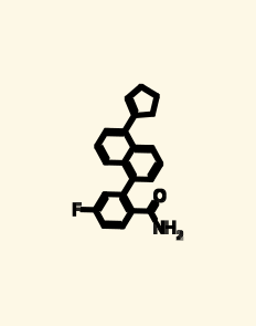 NC(=O)c1ccc(F)cc1-c1cccc2c(C3=CCCC3)cccc12